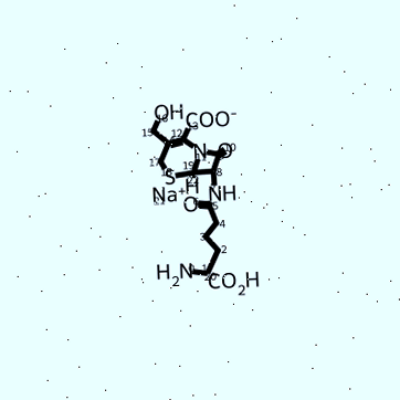 NC(CCCC(=O)NC1C(=O)N2C(C(=O)[O-])=C(CO)CS[C@@H]12)C(=O)O.[Na+]